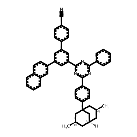 C[C@@H]1C[C@@H]2C[C@H](C)CC(c3ccc(-c4nc(-c5ccccc5)nc(-c5cc(-c6ccc(C#N)cc6)cc(-c6ccc7ccccc7c6)c5)n4)cc3)(C1)C2